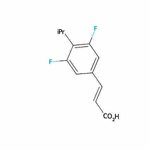 CC(C)c1c(F)cc(/C=C/C(=O)O)cc1F